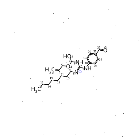 C=CCOC(O)N/C(=N\CCCCCCCC)Nc1ccc(C=O)cc1